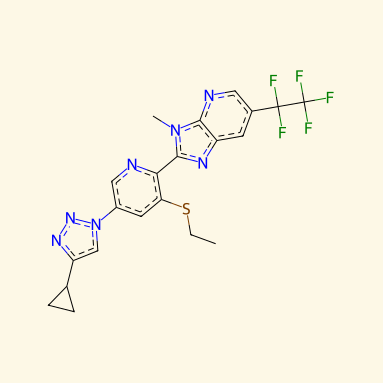 CCSc1cc(-n2cc(C3CC3)nn2)cnc1-c1nc2cc(C(F)(F)C(F)(F)F)cnc2n1C